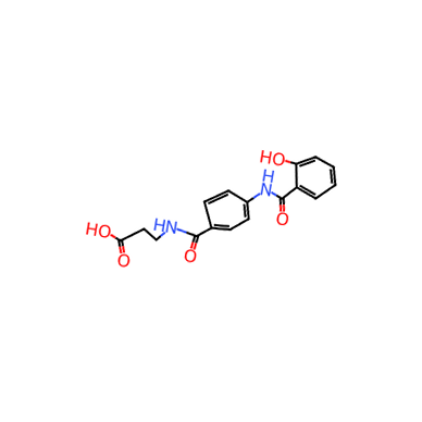 O=C(O)CCNC(=O)c1ccc(NC(=O)c2ccccc2O)cc1